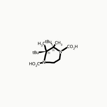 CC(C)(C)[C@]1(C)N(C(=O)O)CCN(C(=O)O)[C@@]1(C)C(C)(C)C